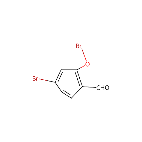 O=Cc1ccc(Br)cc1OBr